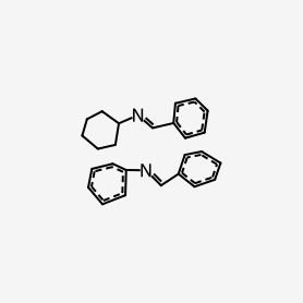 C(=N\C1CCCCC1)/c1ccccc1.C(=N\c1ccccc1)/c1ccccc1